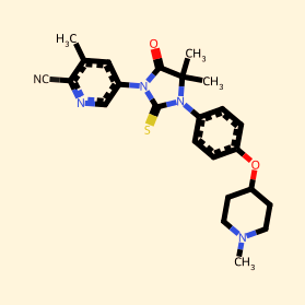 Cc1cc(N2C(=O)C(C)(C)N(c3ccc(OC4CCN(C)CC4)cc3)C2=S)cnc1C#N